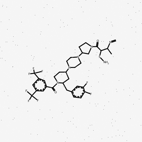 C=NC(C)C(SN)C(=O)N1CCC(N2CCN(C3CCN(C(=O)c4cc(C(F)(F)F)cc(C(F)(F)F)c4)C(Cc4ccc(F)c(F)c4)C3)CC2)C1